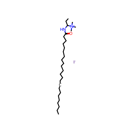 CCCCCCCCCCCCCCCCCCCCCCC(=O)NC(CC)[N+](C)(C)C.[I-]